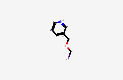 ICOCc1cccnc1